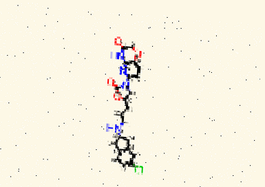 O=C1COc2ccc(N3CC(CCCNC4Cc5ccc(Cl)cc5C4)OC3=O)nc2N1